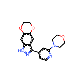 c1cc(-c2n[nH]c3cc4c(cc23)OCCO4)cc(N2CCOCC2)n1